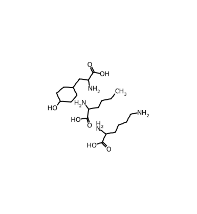 CCCCC(N)C(=O)O.NC(CC1CCC(O)CC1)C(=O)O.NCCCCC(N)C(=O)O